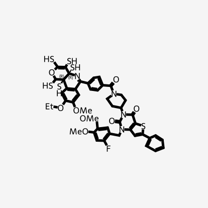 CCOc1cc2c(cc1OC)C(c1ccc(C(=O)N3CCC(n4c(=O)c5sc(-c6ccccc6)cc5n(Cc5cc(OC)c(OC)cc5F)c4=O)CC3)cc1)=N[C@]1(S)C(S)=C(S)OC(S)[C@@]21S